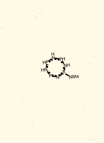 CNp1np[nH][pH][nH][pH][nH]1